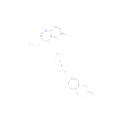 COc1cnc2ncc(=O)n(CCC34CCC(NCc5ccc6c(n5)NC(=O)CO6)(CC3)CO4)c2c1